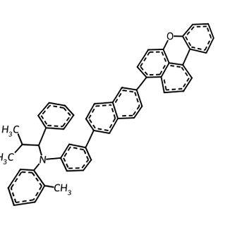 Cc1ccccc1N(c1cccc(-c2ccc3cc(-c4ccc5c6c(cccc46)-c4ccccc4O5)ccc3c2)c1)C(c1ccccc1)C(C)C